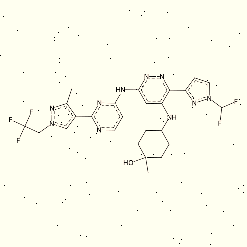 Cc1nn(CC(F)(F)F)cc1-c1nccc(Nc2cc(NC3CCC(C)(O)CC3)c(-c3ccn(C(F)F)n3)nn2)n1